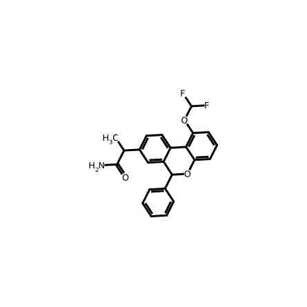 CC(C(N)=O)c1ccc2c(c1)C(c1ccccc1)Oc1cccc(OC(F)F)c1-2